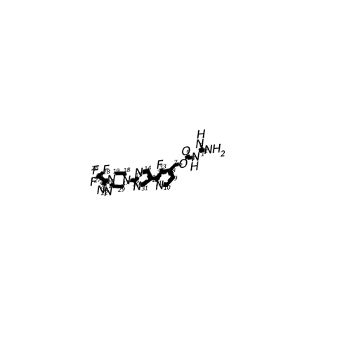 N=C(N)NC(=O)OCc1ccnc(-c2cnc(N3CCn4c(nnc4C(F)(F)F)C3)nc2)c1F